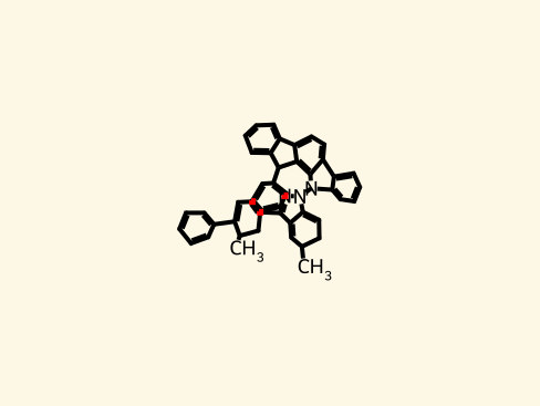 CC1C=c2c(C3=CC=C(c4ccccc4)C(C)C3)nn(-n3c4ccccc4c4ccc5c(c43)C(c3ccccc3)c3ccccc3-5)c2=CC1